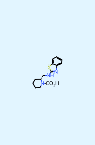 O=C(O)N1CCCC[C@H]1CNc1nc2ccccc2s1